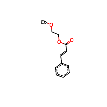 CCOCCOC(=O)C=Cc1ccccc1